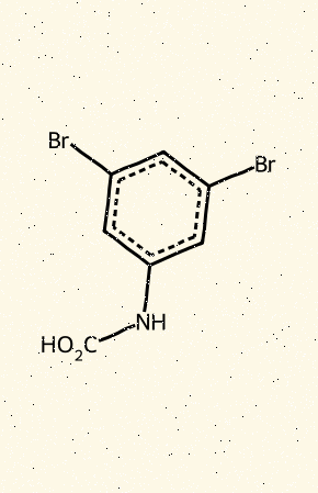 O=C(O)Nc1cc(Br)cc(Br)c1